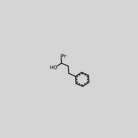 C[C](C)C(O)CCc1ccccc1